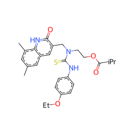 CCOc1ccc(NC(=S)N(CCOC(=O)C(C)C)Cc2cc3cc(C)cc(C)c3[nH]c2=O)cc1